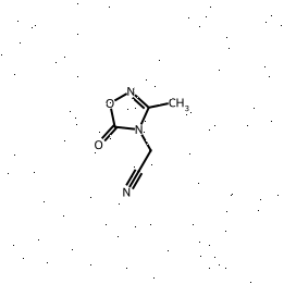 Cc1noc(=O)n1CC#N